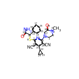 CN1CCN(c2nc(SC(C(N)=O)c3ccccc3)c(C#N)c(C3CC3)c2C#N)CC1=O